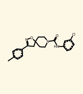 Cc1ccc(C2=NOC3(CCN(C(=O)Nc4cccc(Cl)c4)CC3)C2)cc1